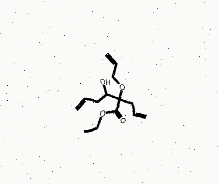 C=CCOC(CC=C)(C(=O)OCC)C(O)CC=C